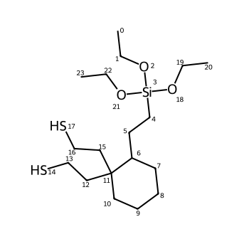 CCO[Si](CCC1CCCCC1(CCS)CCS)(OCC)OCC